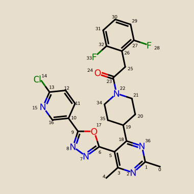 Cc1nc(C)c(-c2nnc(-c3ccc(Cl)nc3)o2)c(C2CCN(C(=O)Cc3c(F)cccc3F)CC2)n1